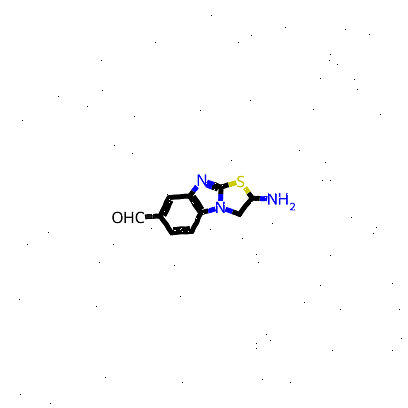 NC1Cn2c(nc3cc(C=O)ccc32)S1